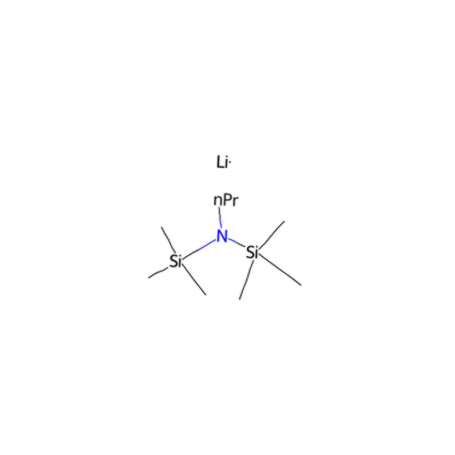 CCCN([Si](C)(C)C)[Si](C)(C)C.[Li]